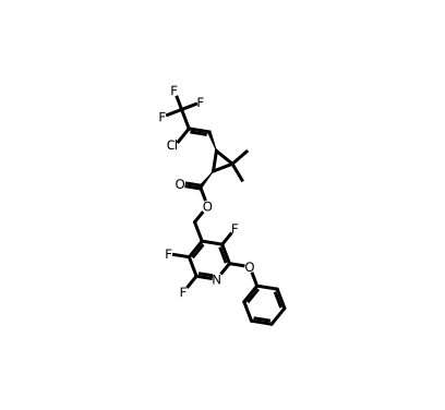 CC1(C)[C@H](C=C(Cl)C(F)(F)F)[C@@H]1C(=O)OCc1c(F)c(F)nc(Oc2ccccc2)c1F